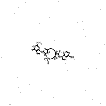 Nc1nc2c(ncn2[C@@H]2OC3CCC[C@H]4[C@H](F)[C@H](n5cnc6c(N)ncnc65)O[C@@H]4COP(=O)(S)O[C@@H]2[C@@H]3F)c(=O)[nH]1